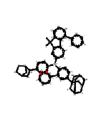 CC1(C)c2cc(N(c3ccc(C4CC5CCC4C5)cc3)c3ccc(C45CC6CC(CC(C6)C4)C5)cc3-c3ccccc3)ccc2-c2c(-c3ccccc3)cccc21